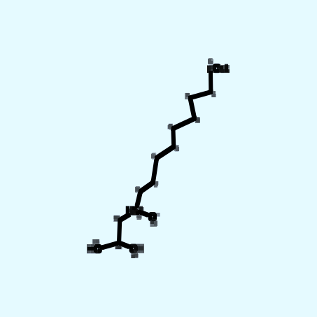 CCCCCCCCCCCCCCCC[NH+]([O-])CC(O)O